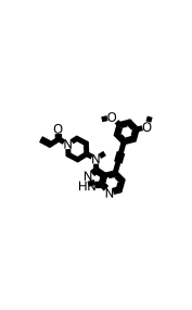 C=CC(=O)N1CCC(N(C)c2n[nH]c3nccc(C#Cc4cc(OC)cc(OC)c4)c23)CC1